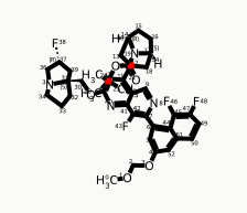 COCOc1cc(-c2ncc3c(C4C[C@H]5CC[C@@H](C4)N5C(=O)OC(C)(C)C)nc(OC[C@@]45CCCN4C[C@H](F)C5)nc3c2F)c2c(F)c(F)ccc2c1